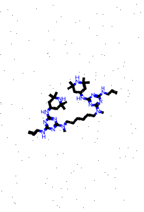 C=CCNc1nc(NC2CC(C)(C)NC(C)(C)C2)nc(N(C)CCCCCCN(C)c2nc(NCC=C)nc(NC3CC(C)(C)NC(C)(C)C3)n2)n1